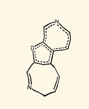 C1=Cc2c(oc3cnccc23)C=NC1